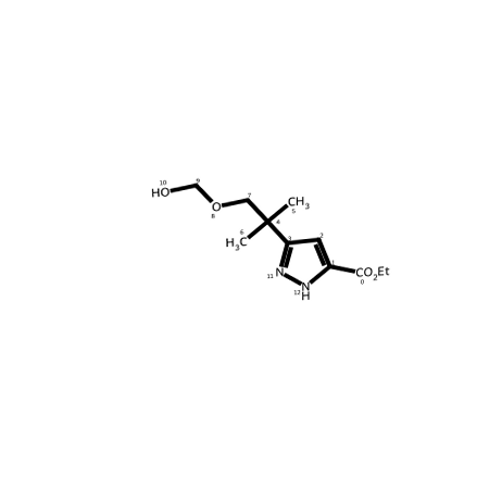 CCOC(=O)c1cc(C(C)(C)COCO)n[nH]1